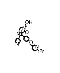 CC(C)c1ccc(COc2ccc(-c3c(-c4ccncc4)nn4c3C(=O)N(CCO)CC4)cc2)cn1